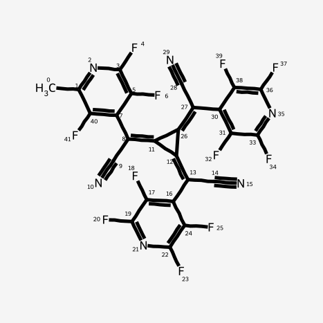 Cc1nc(F)c(F)c(/C(C#N)=C2/C(=C(C#N)c3c(F)c(F)nc(F)c3F)/C2=C(/C#N)c2c(F)c(F)nc(F)c2F)c1F